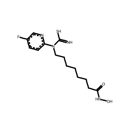 N=C(S)N(CCCCCCCC(=O)NO)c1ccc(F)cn1